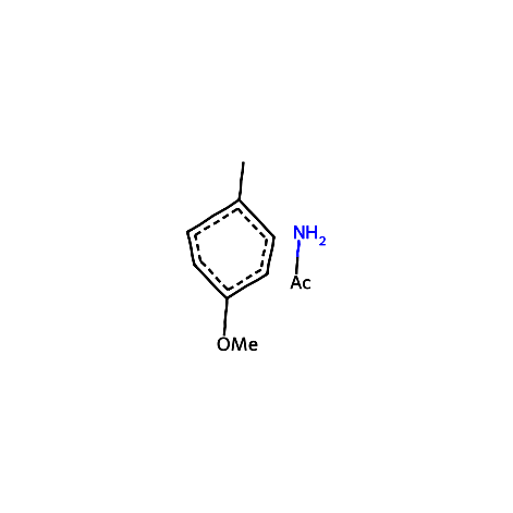 CC(N)=O.COc1ccc(C)cc1